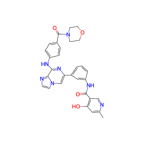 Cc1cc(O)c(C(=O)Nc2cccc(-c3cn4ccnc4c(Nc4ccc(C(=O)N5CCOCC5)cc4)n3)c2)cn1